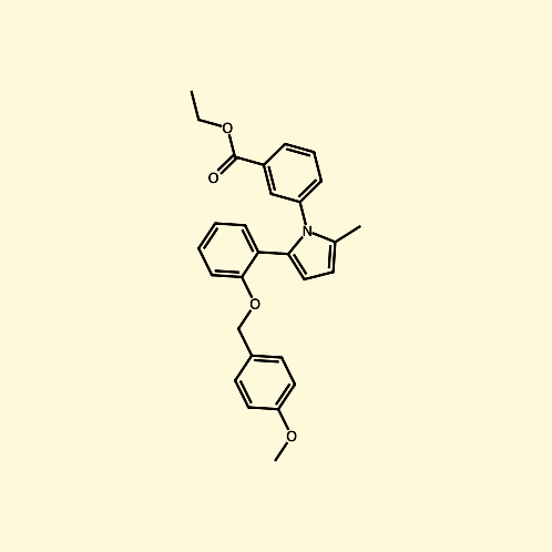 CCOC(=O)c1cccc(-n2c(C)ccc2-c2ccccc2OCc2ccc(OC)cc2)c1